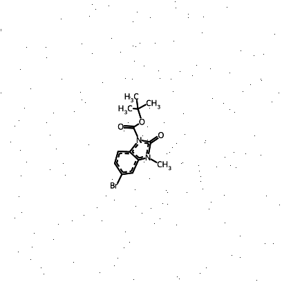 Cn1c(=O)n(C(=O)OC(C)(C)C)c2ccc(Br)cc21